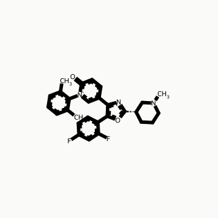 Cc1cccc(C)c1-n1cc(-c2nc([C@H]3CCCN(C)C3)oc2-c2ccc(F)cc2F)ccc1=O